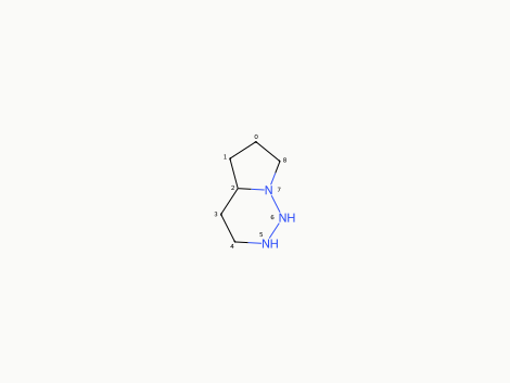 C1CC2CCNNN2C1